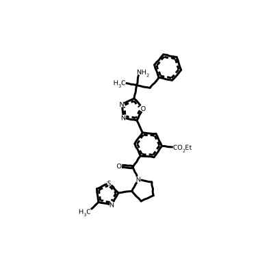 CCOC(=O)c1cc(C(=O)N2CCCC2c2nc(C)cs2)cc(-c2nnc(C(C)(N)Cc3ccccc3)o2)c1